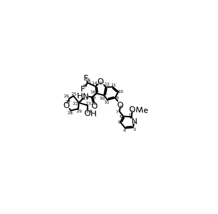 COc1ncccc1COc1ccc2oc(C(F)F)c(C(=O)NC3(CO)CCOCC3)c2c1